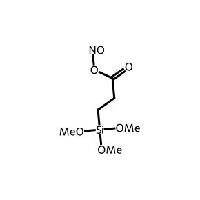 CO[Si](CCC(=O)ON=O)(OC)OC